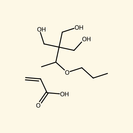 C=CC(=O)O.CCCOC(C)C(CO)(CO)CO